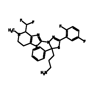 CN1CCc2sc(N3N=C(c4cc(F)ccc4F)SC3(CCCN)c3ccccc3)nc2C1C(F)F